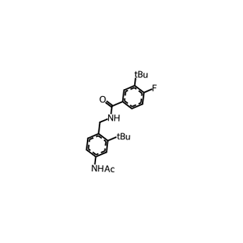 CC(=O)Nc1ccc(CNC(=O)c2ccc(F)c(C(C)(C)C)c2)c(C(C)(C)C)c1